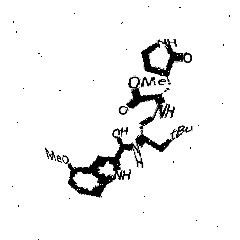 COC(=O)[C@H](C[C@@H]1CCNC1=O)NC[C@H](CC(C)(C)C)NC(O)c1cc2c(OC)cccc2[nH]1